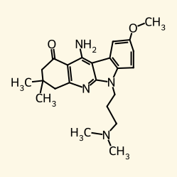 COc1ccc2c(c1)c1c(N)c3c(nc1n2CCCN(C)C)CC(C)(C)CC3=O